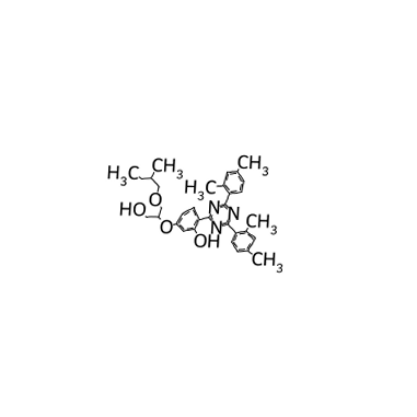 CCC(C)COCC(CO)Oc1ccc(-c2nc(-c3ccc(C)cc3C)nc(-c3ccc(C)cc3C)n2)c(O)c1